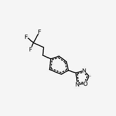 FC(F)(F)CCc1ccc(-c2n[c]on2)cc1